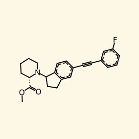 COC(=O)[C@@H]1CCCCN1C1CCc2cc(C#Cc3cccc(F)c3)ccc21